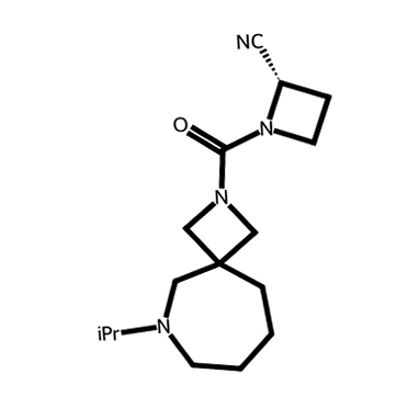 CC(C)N1CCCCC2(CN(C(=O)N3CC[C@H]3C#N)C2)C1